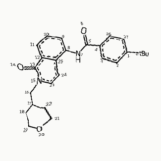 CC(C)(C)c1ccc(C(=O)Nc2cccc3c(=O)n(CC4CCOCC4)ccc23)cc1